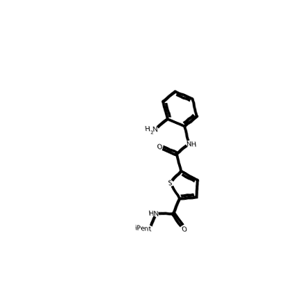 CCCC(C)NC(=O)c1ccc(C(=O)Nc2ccccc2N)s1